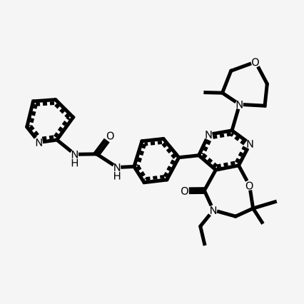 CCN1CC(C)(C)Oc2nc(N3CCOCC3C)nc(-c3ccc(NC(=O)Nc4ccccn4)cc3)c2C1=O